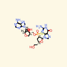 Nc1nc2c(ncn2[C@@H]2O[C@H](CCO)C[C@H]2P(=O)(S)OC[C@@]23CO[C@@H]([C@H](n4cnc5c(N)ncnc54)O2)[C@@H]3O)c(=O)[nH]1